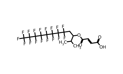 CC(C)C(CC(F)(F)C(F)(F)C(F)(F)C(F)(F)C(F)(F)C(F)(F)C(F)(F)C(F)(F)F)OC(=O)/C=C/C(=O)O